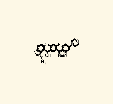 Cn1cnc2cccc(C(O)c3cc(-c4ncnc5cc(N6CCOCC6)ccc45)c(F)cc3Cl)c21